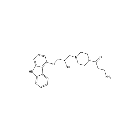 NCCC(=O)N1CCN(CC(O)COc2cccc3[nH]c4ccccc4c23)CC1